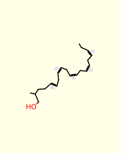 CC/C=C\C/C=C\C/C=C\C/C=C\C/C=C/CCC(C)CO